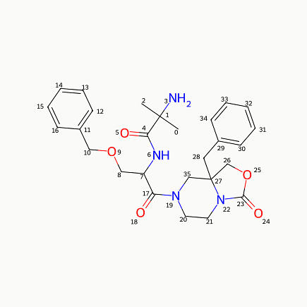 CC(C)(N)C(=O)NC(COCc1ccccc1)C(=O)N1CCN2C(=O)OCC2(Cc2ccccc2)C1